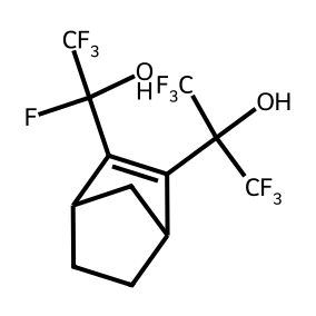 OC(F)(C1=C(C(O)(C(F)(F)F)C(F)(F)F)C2CCC1C2)C(F)(F)F